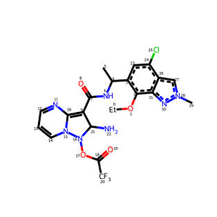 CCOc1c(C(C)NC(=O)C2=C3N=CC=CN3N(OC(=O)C(F)(F)F)C2N)cc(Cl)c2cn(C)nc12